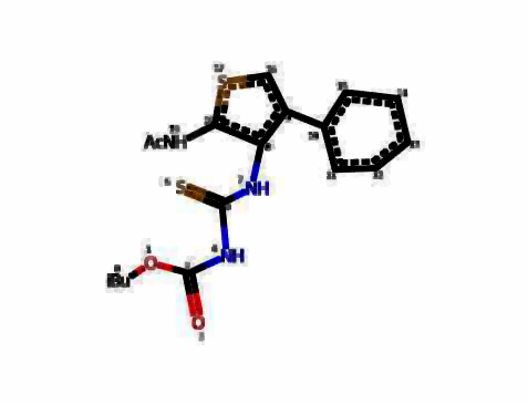 CCC(C)OC(=O)NC(=S)Nc1c(-c2ccccc2)csc1NC(C)=O